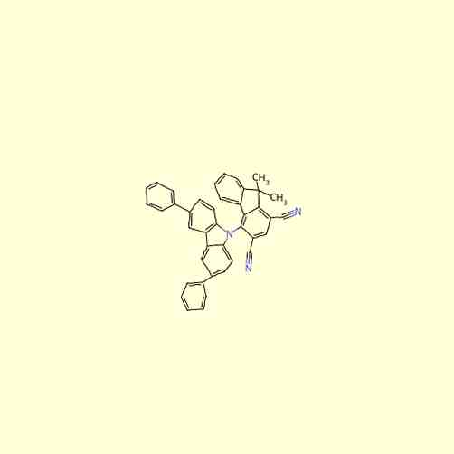 CC1(C)c2ccccc2-c2c(-n3c4ccc(-c5ccccc5)cc4c4cc(-c5ccccc5)ccc43)c(C#N)cc(C#N)c21